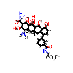 CCOC(=O)CNC(=O)c1cccc(-c2ccc(O)c3c2C[C@H]2C[C@H]4[C@H](N(C)C)C(O)C(C(N)=O)C(=O)[C@@]4(O)C(O)=C2C3=O)c1